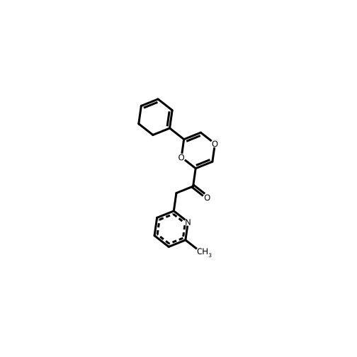 Cc1cccc(CC(=O)C2=COC=C(C3=CC=CCC3)O2)n1